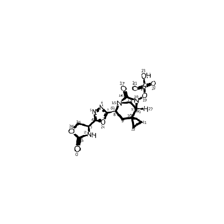 O=C1NC(c2nnc([C@@H]3CC4(CC4)[C@@H]4CN3C(=O)N4OS(=O)(=O)O)o2)CO1